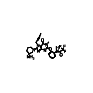 CC#CCn1c(N2CCCC(N)C2)nc2nc(Oc3ccccc3NC(=O)C(F)(F)F)n(C)c(=O)c21